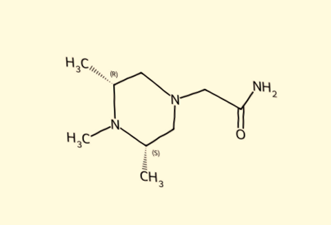 C[C@@H]1CN(CC(N)=O)C[C@H](C)N1C